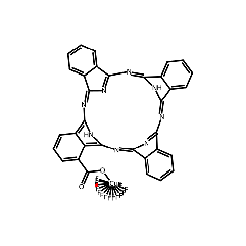 O=C([O][Cu]([F])([F])([F])([F])([F])([F])([F])([F])([F])([F])([F])([F])([F])([F])([F])[F])c1cccc2c3nc4nc(nc5[nH]c(nc6nc(nc([nH]3)c12)-c1ccccc1-6)c1ccccc51)-c1ccccc1-4